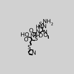 CCO/N=C(\C(=O)NC1C(=O)N2C(C(=O)O)=C(/C=C/Sc3cccnc3)CS[C@H]12)c1nsc(N)n1